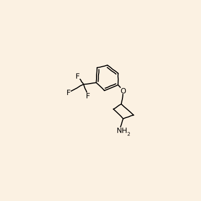 NC1CC(Oc2cccc(C(F)(F)F)c2)C1